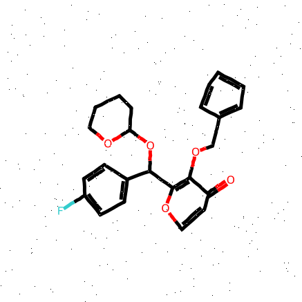 O=c1ccoc(C(OC2CCCCO2)c2ccc(F)cc2)c1OCc1ccccc1